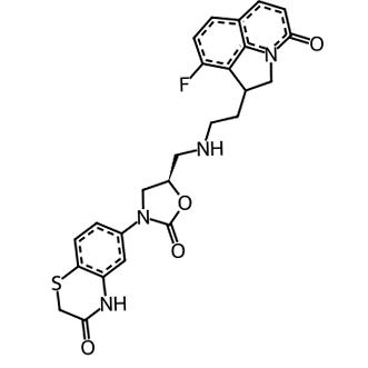 O=C1CSc2ccc(N3C[C@@H](CNCCC4Cn5c(=O)ccc6ccc(F)c4c65)OC3=O)cc2N1